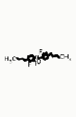 CCCCCc1ccc(C(=O)Oc2ccc(CCCCC)c(F)c2F)c(F)c1